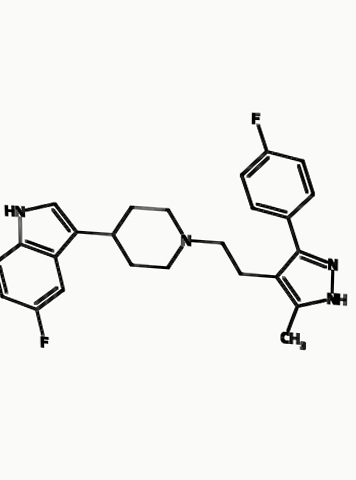 Cc1[nH]nc(-c2ccc(F)cc2)c1CCN1CCC(c2c[nH]c3ccc(F)cc23)CC1